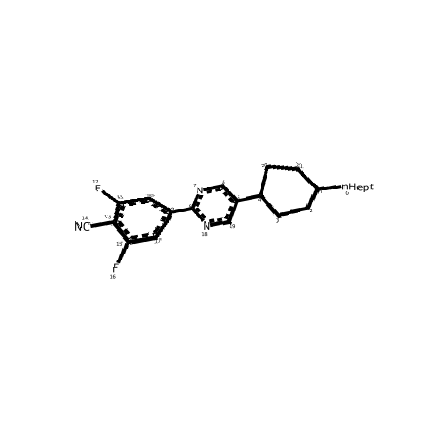 CCCCCCCC1CCC(c2cnc(-c3cc(F)c(C#N)c(F)c3)nc2)CC1